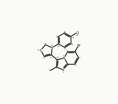 Cc1nc2ccc(Br)cn2c1C1=CSCN1c1ccc(Cl)cc1